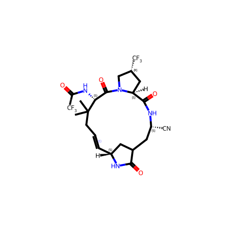 CC1(C)C/C=C/[C@@H]2CC(C[C@@H](C#N)NC(=O)[C@@H]3C[C@@H](C(F)(F)F)CN3C(=O)[C@H]1NC(=O)C(F)(F)F)C(=O)N2